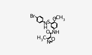 COc1ccc(NC(=O)c2ocnc2C)cc1SNc1ccc(Br)cc1